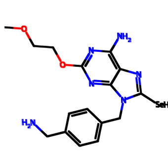 COCCOc1nc(N)c2nc([SeH])n(Cc3ccc(CN)cc3)c2n1